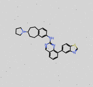 c1cc(-c2ccc3scnc3c2)c2nc(Nc3ccc4c(c3)CC[C@@H](N3CCCC3)CC4)ncc2c1